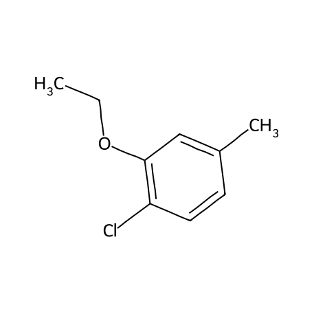 CCOc1cc(C)ccc1Cl